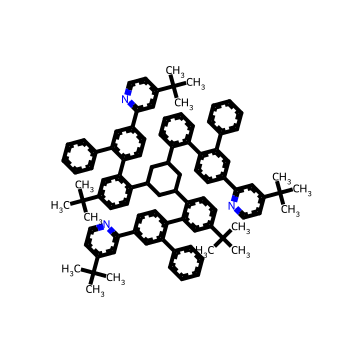 CC(C)(C)c1ccnc(-c2ccc(-c3ccccc3C3CC(c4ccc(C(C)(C)C)cc4-c4ccc(-c5cc(C(C)(C)C)ccn5)cc4-c4ccccc4)CC(c4ccc(C(C)(C)C)cc4-c4ccc(-c5cc(C(C)(C)C)ccn5)cc4-c4ccccc4)C3)c(-c3ccccc3)c2)c1